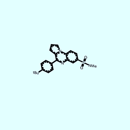 CNS(=O)(=O)c1ccc2c(c1)nc(-c1ccc(C(C)(C)C)cc1)c1cccn12